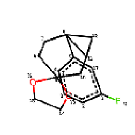 Fc1cccc(C23CCC4(CC2C3)OCCO4)c1